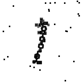 CC(C)(C)c1ccc2nc(-c3ccc(N4CCC(OCC56CCC(C(=O)O)(CC5)CC6)CC4)nc3)[nH]c2c1